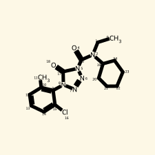 CCN(C(=O)n1nnn(-c2c(C)cccc2Cl)c1=O)C1CCCCC1